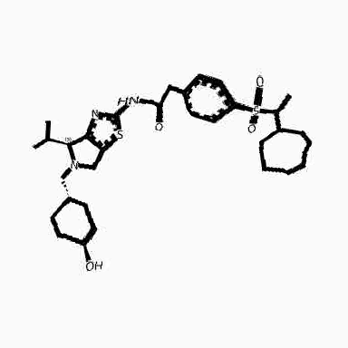 CC(C)[C@H]1c2nc(NC(=O)Cc3ccc(S(=O)(=O)C(C)C4CCCCCC4)cc3)sc2CN1C[C@H]1CC[C@H](O)CC1